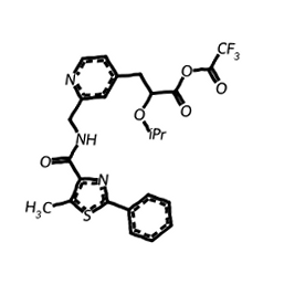 Cc1sc(-c2ccccc2)nc1C(=O)NCc1cc(CC(OC(C)C)C(=O)OC(=O)C(F)(F)F)ccn1